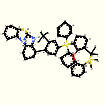 CC(C)(C)c1cc(S(c2ccccc2)(c2ccccc2)c2cccc3c2Oc2ccccc2S(C)(C)C3(C)C)ccc1-c1cccc2c1nc1sc3ccccc3n12